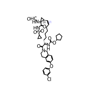 O=CN[C@]1(C(=O)NS(=O)(=O)C2CC2)C[C@H]1/C=C\CCCCC[C@H](NC(=O)OC1CCCC1)C(=O)N1CCc2cc(Oc3cccc(Cl)c3)ccc2C1